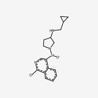 [O-][S+](c1cnc(Cl)c2ccccc12)N1CCC(NCC2CC2)C1